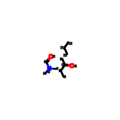 CCC(C)=O.CN(C)C=O.C[CH]C